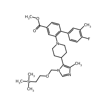 COC(=O)c1ccc(-c2ccc(F)c(C)c2)c(N2CCC(c3c(C)ncn3COCC[Si](C)(C)C)CC2)c1